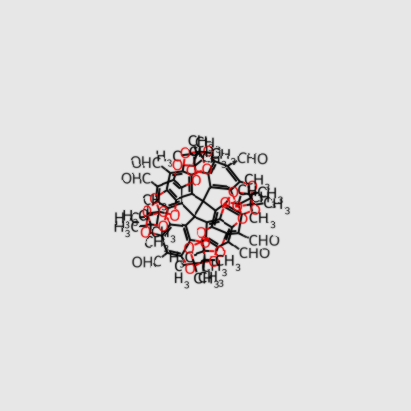 CC1(C)Oc2c(C=O)c3c(c(C(c4c5c(c(C=O)c6c4OC(C)(C)O6)OC(C)(C)O5)(c4c5c(c(C=O)c6c4OC(C)(C)O6)OC(C)(C)O5)C(c4c5c(c(C=O)c6c4OC(C)(C)O6)OC(C)(C)O5)(c4c5c(c(C=O)c6c4OC(C)(C)O6)OC(C)(C)O5)c4c5c(c(C=O)c6c4OC(C)(C)O6)OC(C)(C)O5)c2O1)OC(C)(C)O3